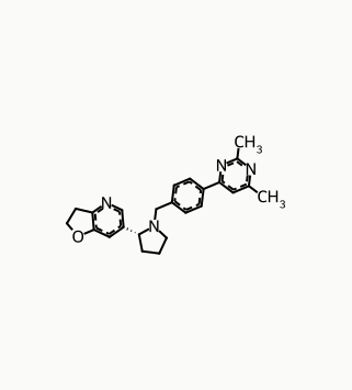 Cc1cc(-c2ccc(CN3CCC[C@@H]3c3cnc4c(c3)OCC4)cc2)nc(C)n1